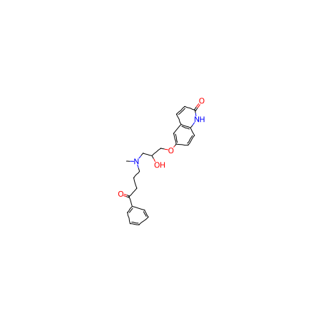 CN(CCCC(=O)c1ccccc1)CC(O)COc1ccc2[nH]c(=O)ccc2c1